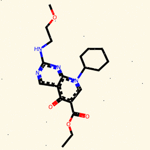 CCOC(=O)c1cn(C2CCCCC2)c2nc(NCCOC)ncc2c1=O